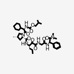 CCC[C@H](NC(=O)[C@@H]1C[C@H](C)CN1C(=O)[C@@H](NC(=O)OCC(C)C)C1CCCCC1)C(=O)C(=O)NCC(=O)N[C@H](C(=O)N(C)C)c1ccccc1